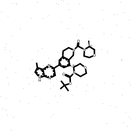 Cc1c[nH]c2ncc(-c3cc4c(c([C@@H]5COCCN5C(=O)OC(C)(C)C)c3)CN(C(=O)N3CCOC[C@@H]3C)CC4)nc12